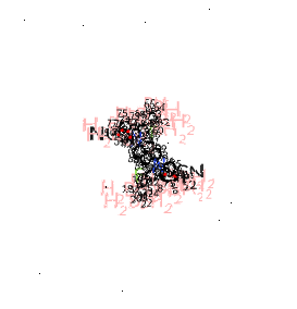 BC(B)=C(B)/C(B)=C(/B)C(=C)c1cc(-c2c(B)c(B)c(B)c(B)c2B)c(F)cc1N(c1ccc(C#N)cc1)c1ccc2ccc3c(N(c4ccc(C#N)cc4)c4cc(F)c(-c5c(B)c(B)c(B)c(B)c5B)cc4-c4c(B)c(B)c(B)c(B)c4B)ccc4ccc1c2c43